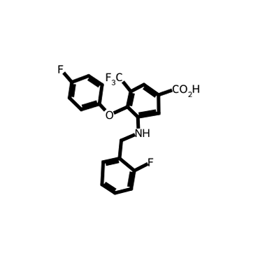 O=C(O)c1cc(NCc2ccccc2F)c(Oc2ccc(F)cc2)c(C(F)(F)F)c1